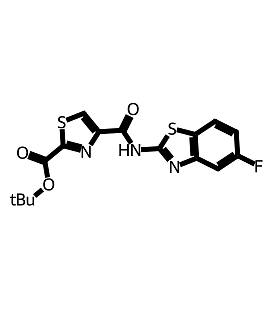 CC(C)(C)OC(=O)c1nc(C(=O)Nc2nc3cc(F)ccc3s2)cs1